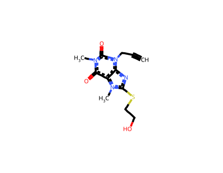 C#CCn1c(=O)n(C)c(=O)c2c1nc(SCCO)n2C